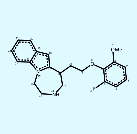 COc1cccc(F)c1OCCC1CNCCn2c1cc1ccccc12